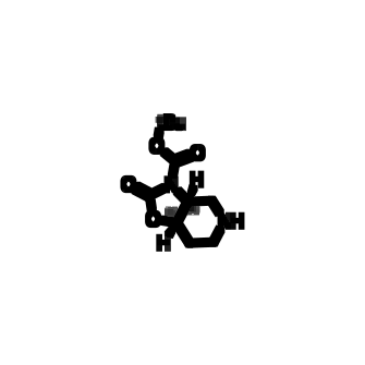 CC(C)(C)OC(=O)N1C(=O)O[C@H]2CCNC[C@H]21